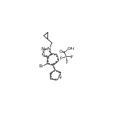 Brc1c(-c2cccnc2)ccc2c1nnn2CC1CC1.O=C(O)C(F)(F)F